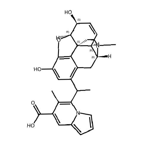 Cc1c(C(=O)O)cc2cccn2c1C(C)c1cc(O)c2c3c1C[C@@H]1[C@@H]4C=C[C@H](O)[C@H](O2)[C@]34CCN1C